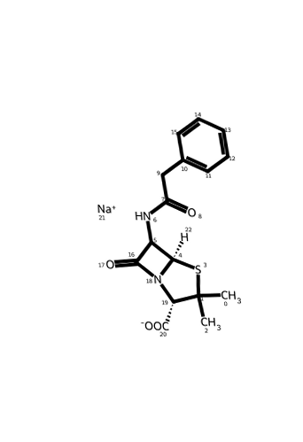 CC1(C)S[C@@H]2C(NC(=O)Cc3ccccc3)C(=O)N2[C@H]1C(=O)[O-].[Na+]